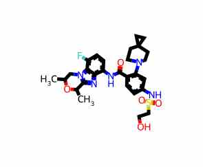 CC1Cn2c(nc3c(NC(=O)c4ccc(NS(=O)(=O)CCO)cc4N4CCC5(CC4)CC5)ccc(F)c32)C(C)O1